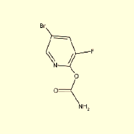 NC(=O)Oc1ncc(Br)cc1F